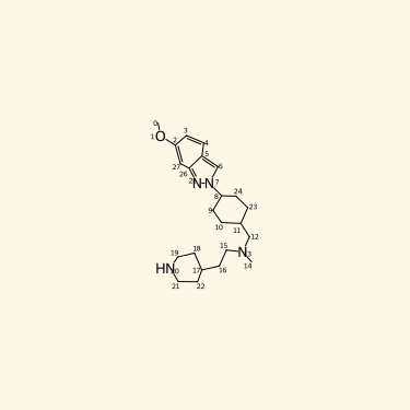 COc1ccc2cn(C3CCC(CN(C)CCC4CCNCC4)CC3)nc2c1